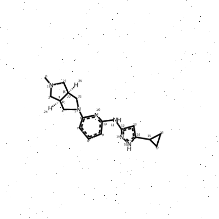 CN1C[C@@H]2CN(c3cccc(Nc4cc(C5CC5)[nH]n4)n3)C[C@@H]2C1